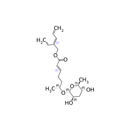 C=C/C=C(\C=C)COC(=O)/C=C/CC[C@@H](C)O[C@@H]1O[C@@H](C)[C@H](O)C[C@H]1O